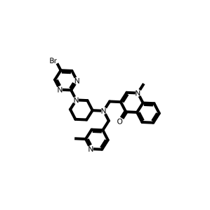 Cc1cc(CN(Cc2cn(C)c3ccccc3c2=O)C2CCCN(c3ncc(Br)cn3)C2)ccn1